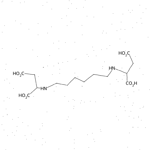 O=C(O)CC(NCCCCCCNC(CC(=O)O)C(=O)O)C(=O)O